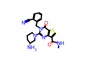 CNC(=O)c1csc2c(=O)n(Cc3ccccc3C#N)c(N3CCC[C@@H](N)C3)nc12